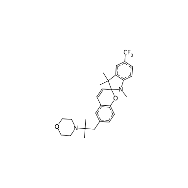 CN1c2ccc(C(F)(F)F)cc2C(C)(C)C12C=Cc1cc(CC(C)(C)N3CCOCC3)ccc1O2